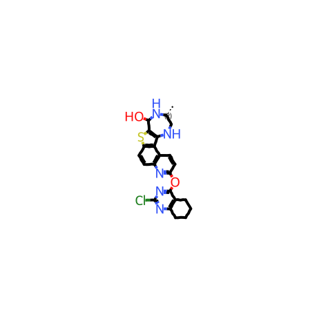 C[C@@H]1CNc2c(sc3ccc4nc(Oc5nc(Cl)nc6c5CCCC6)ccc4c23)C(O)N1